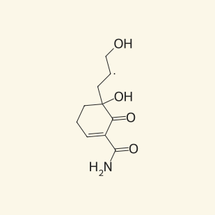 NC(=O)C1=CCCC(O)(C[CH]CO)C1=O